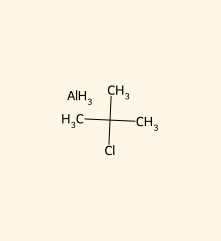 CC(C)(C)Cl.[AlH3]